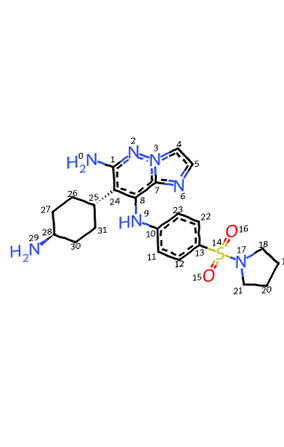 Nc1nn2ccnc2c(Nc2ccc(S(=O)(=O)N3CCCC3)cc2)c1[C@H]1CC[C@H](N)CC1